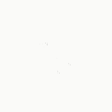 O=[N+]([O-])c1ccccc1SC1=NC=C[N]1